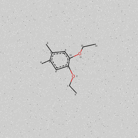 CCOc1cc(C)c(C)cc1OCC